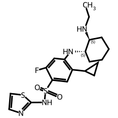 CCN[C@H]1CCCC[C@@H]1Nc1cc(F)c(S(=O)(=O)Nc2nccs2)cc1C1CC1